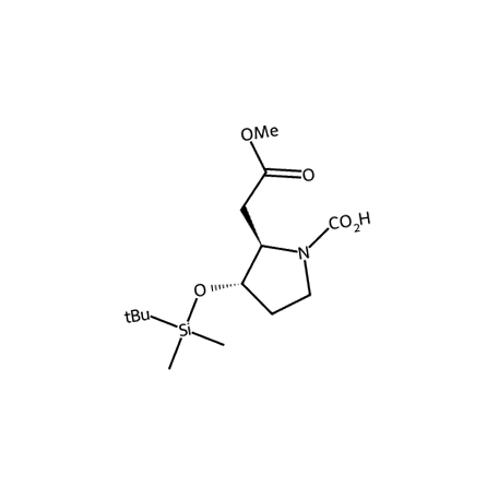 COC(=O)C[C@@H]1[C@@H](O[Si](C)(C)C(C)(C)C)CCN1C(=O)O